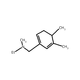 CCN(C)CC1=CCC(C)C(C)=C1